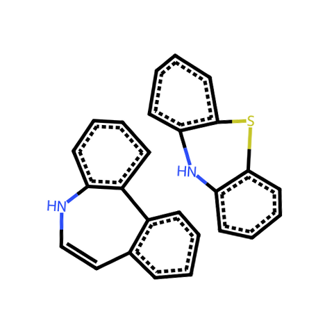 C1=Cc2ccccc2-c2ccccc2N1.c1ccc2c(c1)Nc1ccccc1S2